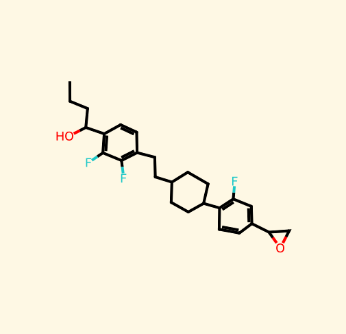 CCCC(O)c1ccc(CCC2CCC(c3ccc(C4CO4)cc3F)CC2)c(F)c1F